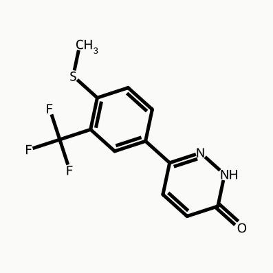 CSc1ccc(-c2ccc(=O)[nH]n2)cc1C(F)(F)F